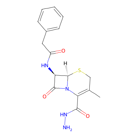 CC1=C(C(=O)NN)N2C(=O)[C@@H](NC(=O)Cc3ccccc3)[C@H]2SC1